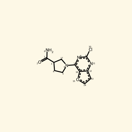 NC(=O)C1CCN(c2nc(Cl)nc3ccoc23)C1